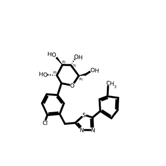 Cc1cccc(-c2nnc(Cc3cc(C4O[C@H](CO)[C@@H](O)[C@H](O)[C@H]4O)ccc3Cl)s2)c1